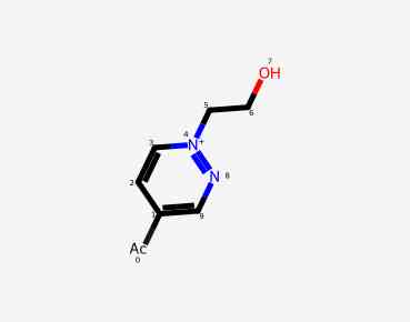 CC(=O)c1cc[n+](CCO)nc1